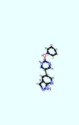 c1ccc(Oc2ncc(-c3cnc4[nH]ncc4c3)cn2)cc1